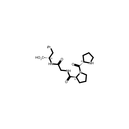 CC(C)C[C@H](NC(=O)CNC(=O)[C@@H]1CCCN1C(=O)[C@@H]1CCCN1)C(=O)O